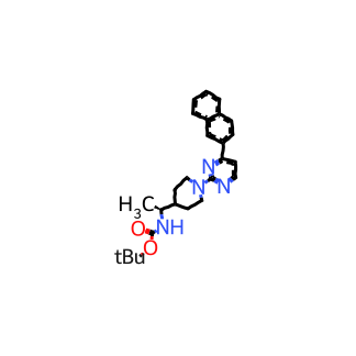 C[C@H](NC(=O)OC(C)(C)C)C1CCN(c2nccc(-c3ccc4ccccc4c3)n2)CC1